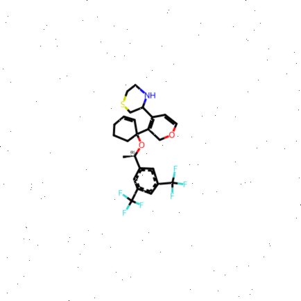 C[C@@H](OC1(C2=C(C3CSCCN3)C=COC2)C=CCCC1)c1cc(C(F)(F)F)cc(C(F)(F)F)c1